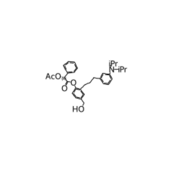 CC(=O)O[C@@H](C(=O)Oc1ccc(CO)cc1CCCc1cccc(N(C(C)C)C(C)C)c1)c1ccccc1